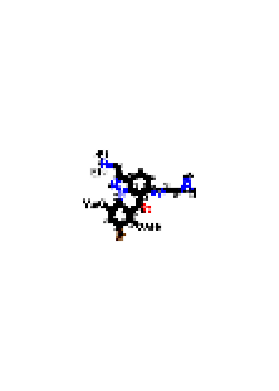 CCN(CC)Cc1nn2c3c(OC)cc(Br)c(OC)c3c(=O)c3c(NCCN(C)C)ccc1c32